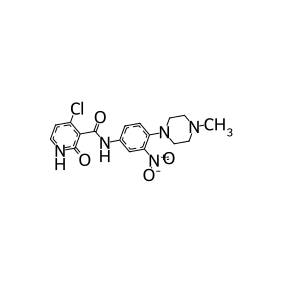 CN1CCN(c2ccc(NC(=O)c3c(Cl)cc[nH]c3=O)cc2[N+](=O)[O-])CC1